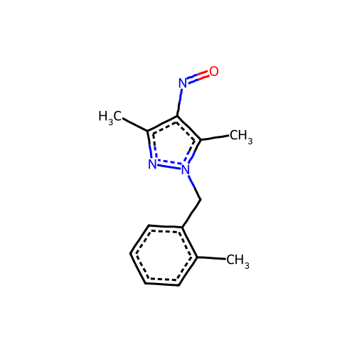 Cc1ccccc1Cn1nc(C)c(N=O)c1C